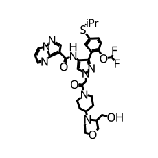 CC(C)Sc1ccc(OC(F)F)c(-c2nn(CC(=O)N3CCC(N4CCOCC4CO)CC3)cc2NC(=O)c2cnn3cccnc23)c1